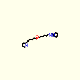 C(#Cc1ccccn1)CCCCOCCCCCCNCc1ccccc1